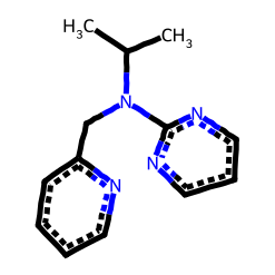 CC(C)N(Cc1ccccn1)c1ncccn1